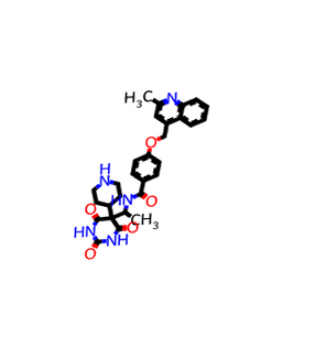 Cc1cc(COc2ccc(C(=O)NC(C)C3(C4CCNCC4)C(=O)NC(=O)NC3=O)cc2)c2ccccc2n1